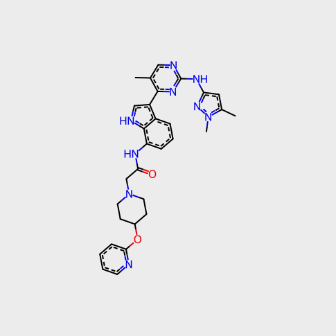 Cc1cnc(Nc2cc(C)n(C)n2)nc1-c1c[nH]c2c(NC(=O)CN3CCC(Oc4ccccn4)CC3)cccc12